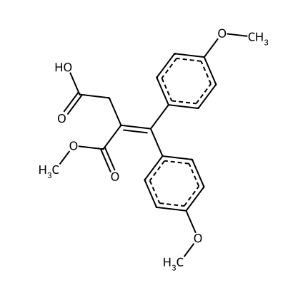 COC(=O)C(CC(=O)O)=C(c1ccc(OC)cc1)c1ccc(OC)cc1